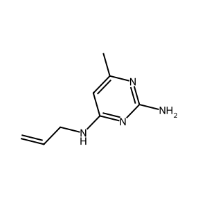 C=CCNc1cc(C)nc(N)n1